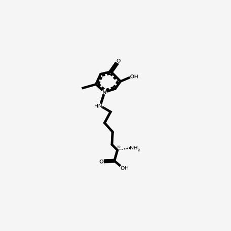 Cc1cc(=O)c(O)cn1NCCCC[C@H](N)C(=O)O